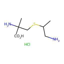 CC(CN)SCC(C)(N)C(=O)O.Cl